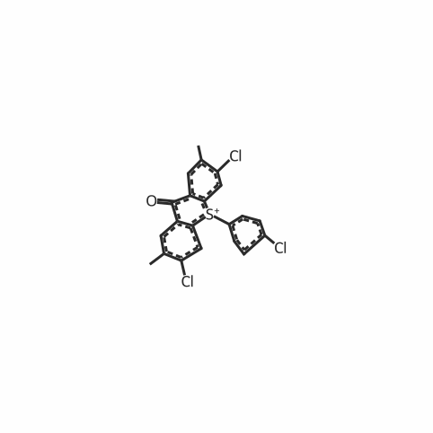 Cc1cc2c(=O)c3cc(C)c(Cl)cc3[s+](-c3ccc(Cl)cc3)c2cc1Cl